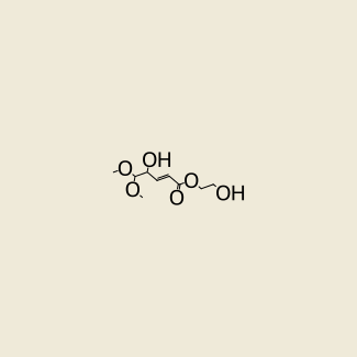 COC(OC)C(O)C=CC(=O)OCCO